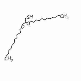 CCCCCCCCCCCCOCC(CS)OCCCCCCCCCCCC